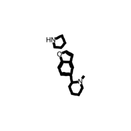 C1CCNC1.CN1CCCCC1c1ccc2occc2c1